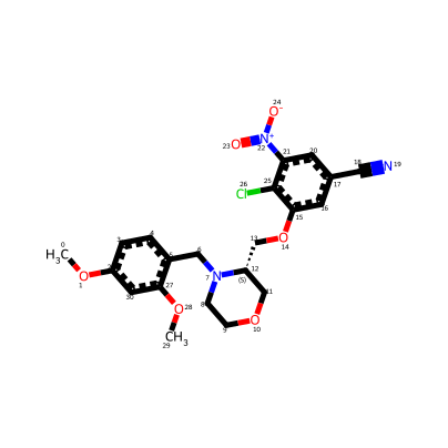 COc1ccc(CN2CCOC[C@H]2COc2cc(C#N)cc([N+](=O)[O-])c2Cl)c(OC)c1